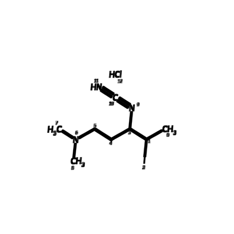 CC(I)C(CCN(C)C)N=C=N.Cl